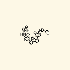 COc1nc(-c2cccc(-c3cccc(-c4cnc(CN5CCC(C6CCOC6)C5)c(OC)n4)c3Cl)c2Cl)cnc1CNC[C@@H]1CCC(=O)N1